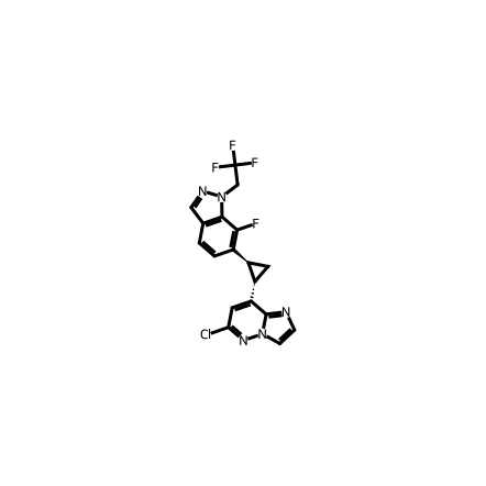 Fc1c([C@H]2C[C@@H]2c2cc(Cl)nn3ccnc23)ccc2cnn(CC(F)(F)F)c12